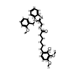 COc1ccccc1Cn1c(C[N]C(=O)CCCCCc2ccc(OC)c(OC)c2Cl)nc2ccccc21